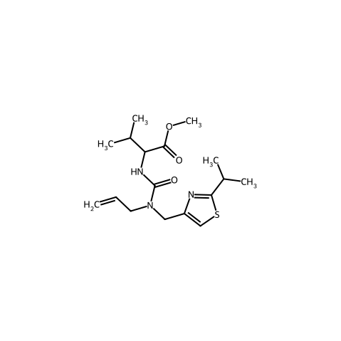 C=CCN(Cc1csc(C(C)C)n1)C(=O)NC(C(=O)OC)C(C)C